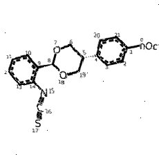 CCCCCCCCc1ccc([C@H]2CO[C@H](c3ccccc3N=C=S)OC2)cc1